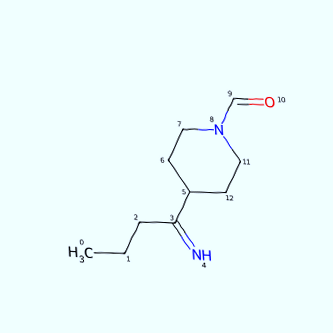 CCCC(=N)C1CCN(C=O)CC1